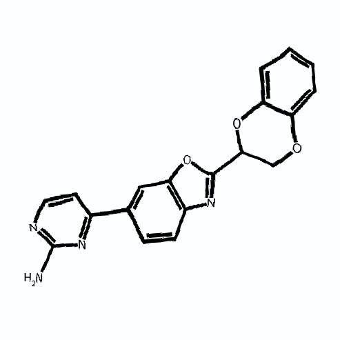 Nc1nccc(-c2ccc3nc(C4COc5ccccc5O4)oc3c2)n1